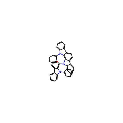 c1ccc(-n2c3ccccc3c3cccc(-n4c5ccccc5c5ccc6c7ccccc7n(-c7ccccc7)c6c54)c32)cc1